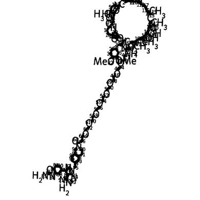 CO[C@H]1C[C@@H]2CC[C@@H](C)[C@@](O)(O2)C(=O)C(=O)N2CCCC[C@H]2C(=O)O[C@H]([C@H](N)C[C@@H]2CC[C@@H](OC)[C@H](OC)C2)C[C@@H](OCNCCOCCOCCOCCOCCOCCOCCOCCOCCC(=O)N2CCc3cc(Cn4nc(-c5ccc6oc(N)nc6c5)c5c(N)ncnc54)ccc3C2)[C@H](C)/C=C(\C)[C@@H](O)[C@@H](O)C(=O)[C@H](C)C[C@H](C)/C=C/C=C/C=C/1C